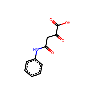 O=C(CC(=O)C(=O)O)Nc1ccccc1